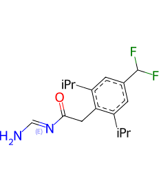 CC(C)c1cc(C(F)F)cc(C(C)C)c1CC(=O)/N=C/N